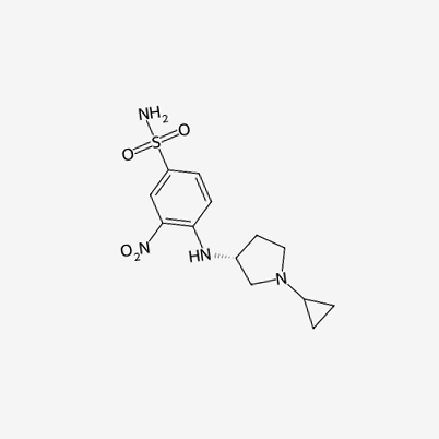 NS(=O)(=O)c1ccc(N[C@@H]2CCN(C3CC3)C2)c([N+](=O)[O-])c1